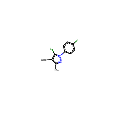 CC(C)(C)c1nn(-c2ccc(F)cc2)c(Cl)c1C=O